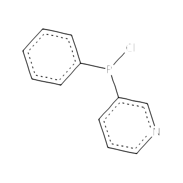 ClP(c1ccccc1)c1cccnc1